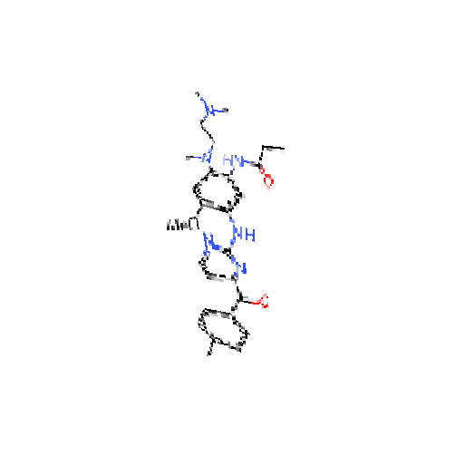 C=CC(=O)Nc1cc(Nc2nccc(C(=O)c3ccc(C)cc3)n2)c(OC)cc1N(C)CCN(C)C